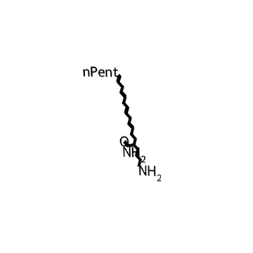 CCCCCC=CCC=CCC=CCC=CCCC(CCCCN)C(N)=O